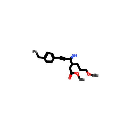 CCCCOCCCC(CC(=O)OC(C)(C)C)C(=N)C#Cc1ccc(CC(C)C)cc1